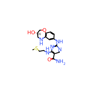 CSCCNc1nc(Nc2ccc3c(c2)NC[C@H](O)CO3)ncc1C(N)=O